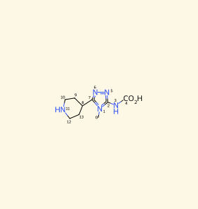 Cn1c(NC(=O)O)nnc1C1CCNCC1